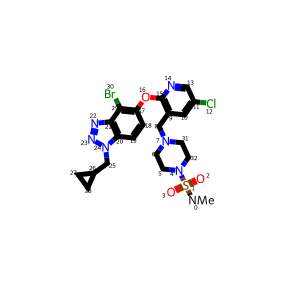 CNS(=O)(=O)N1CCN(Cc2cc(Cl)cnc2Oc2ccc3c(nnn3CC3CC3)c2Br)CC1